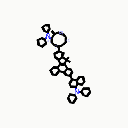 C=C1/C=C\C=C/C/C(c2ccc3c(c2)C(C)(C)c2c-3c3ccccc3c3cc(-c4ccc(N(c5ccccc5)c5ccccc5)c5ccccc45)ccc23)=C\C=C/1N(c1ccccc1)c1ccccc1